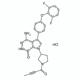 CC#CC(=O)N1CCC(n2cc(-c3ccc(Oc4c(F)cccc4F)cc3)c3c(N)n[nH]c(=O)c32)C1.Cl